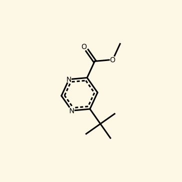 COC(=O)c1cc(C(C)(C)C)ncn1